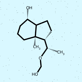 C[C@H](OCO)[C@H]1CCC2[C@@H](O)CCC[C@@]21C